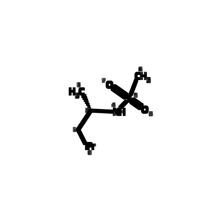 CC(C)C[C@H](C)NS(C)(=O)=O